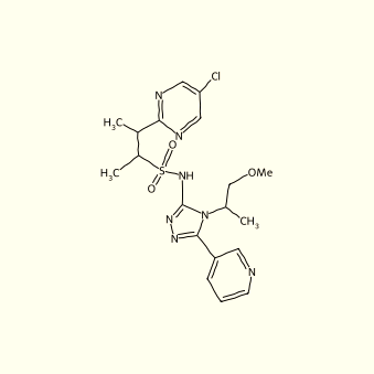 COCC(C)n1c(NS(=O)(=O)C(C)C(C)c2ncc(Cl)cn2)nnc1-c1cccnc1